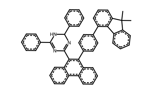 CC1(C)c2ccccc2-c2c(-c3ccc(-c4c(C5=NC(c6ccccc6)NC(c6ccccc6)=N5)c5ccccc5c5ccccc45)cc3)cccc21